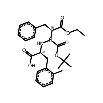 CCOC(=O)[C@H](Cc1ccccc1)N(N[C@@H](Cc1ccccc1C)C(=O)O)C(=O)OC(C)(C)C